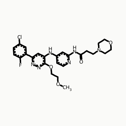 COCCOc1nnc(-c2cc(Cl)ccc2F)cc1Nc1ccnc(NC(=O)CCN2CCOCC2)c1